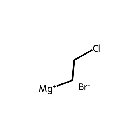 [Br-].[Mg+][CH2]CCl